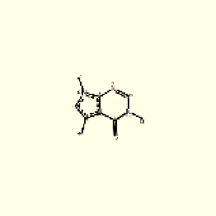 C=C1c2c(C)cn(C)c2N=CN1C